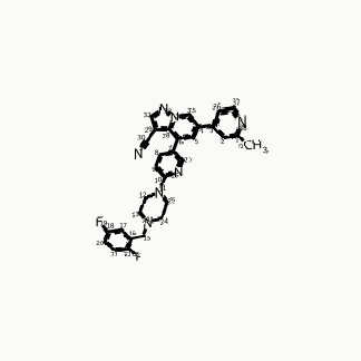 Cc1cc(-c2cc(-c3ccc(N4CCN(Cc5cc(F)ccc5F)CC4)nc3)c3c(C#N)cnn3c2)ccn1